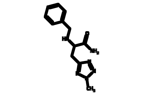 Cn1nnc(CC(NCc2ccccc2)C(N)=O)n1